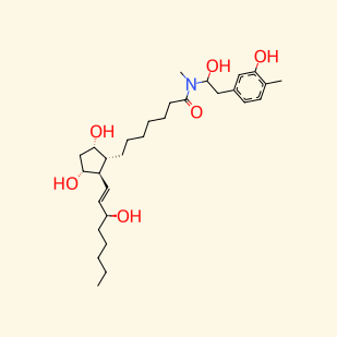 CCCCC[C@H](O)/C=C/[C@@H]1[C@@H](CCCCCCC(=O)N(C)C(O)Cc2ccc(C)c(O)c2)[C@@H](O)C[C@H]1O